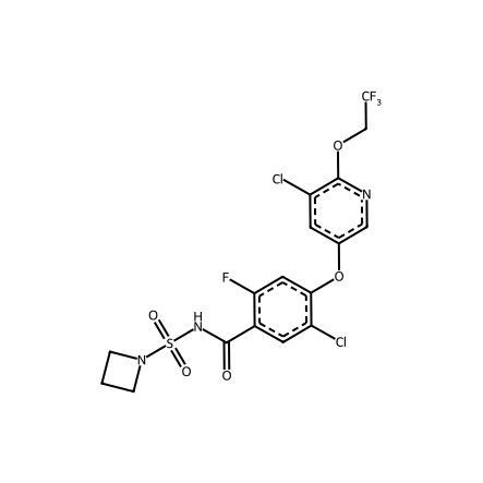 O=C(NS(=O)(=O)N1CCC1)c1cc(Cl)c(Oc2cnc(OCC(F)(F)F)c(Cl)c2)cc1F